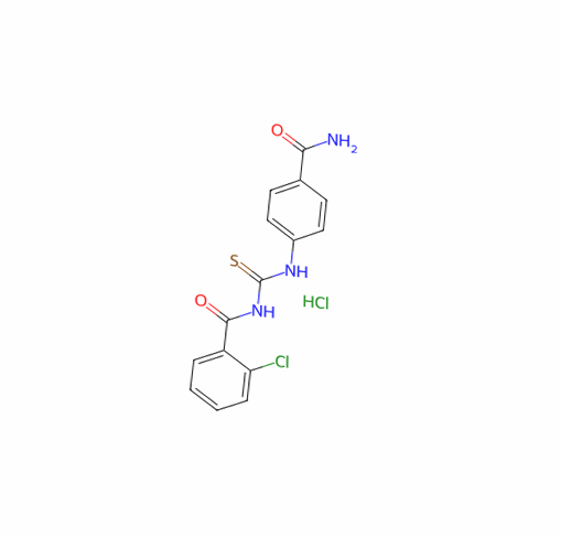 Cl.NC(=O)c1ccc(NC(=S)NC(=O)c2ccccc2Cl)cc1